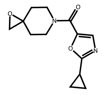 O=C(c1cnc(C2CC2)o1)N1CCC2(CC1)CO2